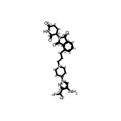 Nc1cn(C2CCN(CCCc3cccc4c3C(=O)N(C3CCC(=O)NC3=O)C4=O)CC2)nc1C(F)F